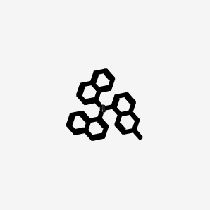 CC1C=CC2C(B(c3cccc4ccccc34)c3cccc4ccccc34)=CC=CC2C1